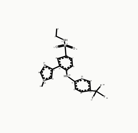 CCNS(=O)(=O)c1ccc(Nc2ccc(C(F)(F)F)cn2)c(-c2cn(C)cn2)c1